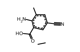 CC.Cc1cc(C#N)cc(C(=O)O)c1N